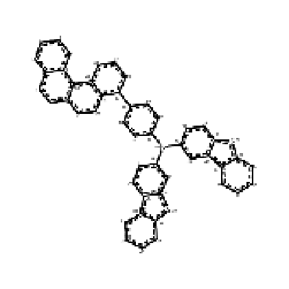 c1ccc2c(c1)ccc1ccc3c(-c4ccc(N(c5ccc6c(c5)sc5ccccc56)c5ccc6sc7ccccc7c6c5)cc4)cccc3c12